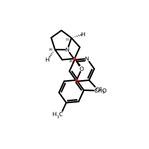 Cc1ccc(O[C@H]2C[C@H]3CC[C@@H](C2)N3c2ccc(C(F)(F)F)cn2)c(C=O)c1